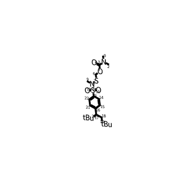 CN(C)C(=O)OCSN(C)S(=O)(=O)c1ccc(C(CC(C)(C)C)C(C)(C)C)cc1